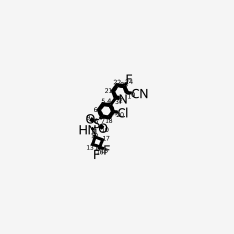 N#Cc1nc(-c2ccc(S(=O)(=O)NC3CC(F)(F)C3)cc2Cl)ccc1F